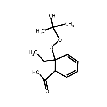 CCC1(OOC(C)(C)C)C=CC=CC1C(=O)O